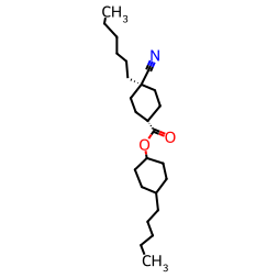 CCCCCC[C@]1(C#N)CC[C@H](C(=O)OC2CCC(CCCCC)CC2)CC1